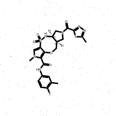 Cc1nnc(C(=O)N2C[C@H]3COc4c(cn(C)c4C(=O)Nc4ccc(F)c(C)c4)S(=O)(=O)N[C@H]3C2)s1